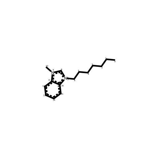 CCCCCCC[n+]1cn(C)c2ccccc21